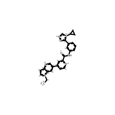 O=C(Nc1cccc(-c2nncn2C2CC2)c1)c1cc(-c2cnc3ccn(CC(F)(F)F)c3c2)ccn1